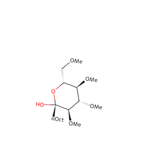 CCCCCCCC[C@@]1(O)O[C@H](COC)[C@@H](OC)[C@H](OC)[C@H]1OC